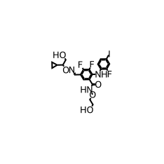 O=C(NOCCO)c1cc(C=NOC(CO)C2CC2)c(F)c(F)c1Nc1ccc(I)cc1F